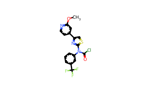 COc1cc(-c2csc(N(C(=O)Cl)c3cccc(C(F)(F)F)c3)n2)ccn1